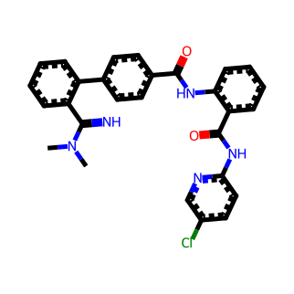 CN(C)C(=N)c1ccccc1-c1ccc(C(=O)Nc2ccccc2C(=O)Nc2ccc(Cl)cn2)cc1